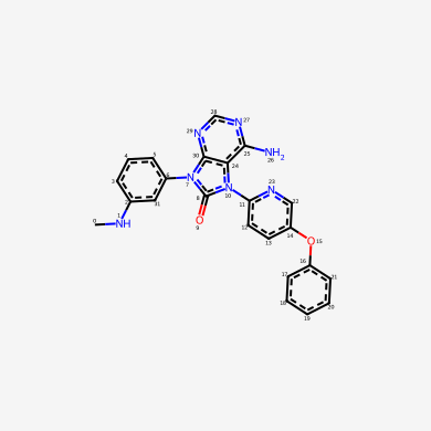 CNc1cccc(-n2c(=O)n(-c3ccc(Oc4ccccc4)cn3)c3c(N)ncnc32)c1